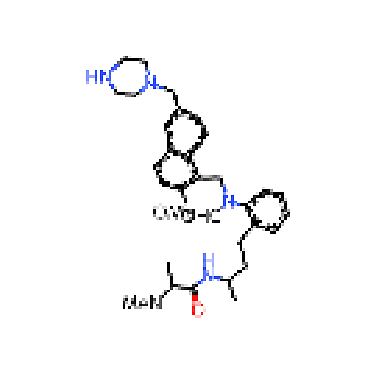 CN[C@@H](C)C(=O)NC(C)CCc1ccccc1N(C=O)Cc1c(OC)ccc2cc(CN3CCNCC3)ccc12